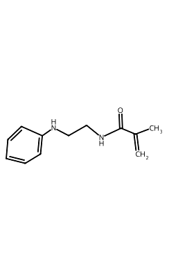 C=C(C)C(=O)NCCNc1ccccc1